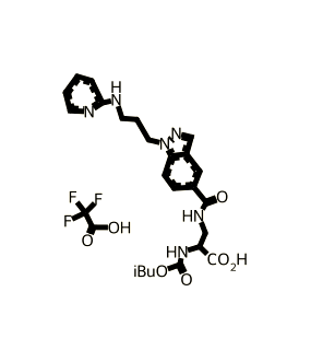 CC(C)COC(=O)NC(CNC(=O)c1ccc2c(cnn2CCCNc2ccccn2)c1)C(=O)O.O=C(O)C(F)(F)F